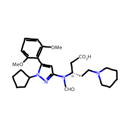 COc1cccc(OC)c1-c1cc(N(C=O)[C@@H](CCN2CCCCC2)CC(=O)O)nn1C1CCCC1